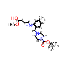 CC(C)(C)OC(O)CCCNc1cc(C(F)(F)F)ccc1CN1CCN(C(=O)OC(C(F)(F)F)C(F)(F)F)CC1